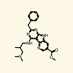 COC(=O)c1cnc2c(c1)[nH]c1nc(Cc3ccccc3)nc(NCC(C)CN(C)C)c12